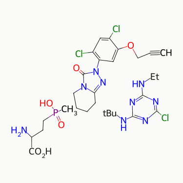 C#CCOc1cc(-n2nc3n(c2=O)CCCC3)c(Cl)cc1Cl.CCNc1nc(Cl)nc(NC(C)(C)C)n1.CP(=O)(O)CCC(N)C(=O)O